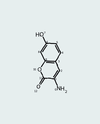 Nc1cc2ccc(O)cc2oc1=O